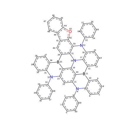 c1ccc(N2c3ccccc3B3c4cccc5c4N4c6c3c2cc2c6B(c3ccccc3N2c2ccccc2)c2cc3c(oc6ccccc63)c(c24)N5c2ccccc2)cc1